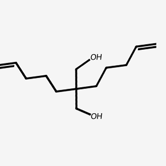 C=CCCCC(CO)(CO)CCCC=C